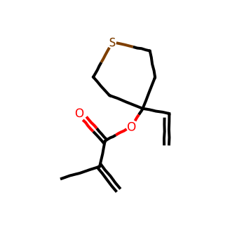 C=CC1(OC(=O)C(=C)C)CCSCC1